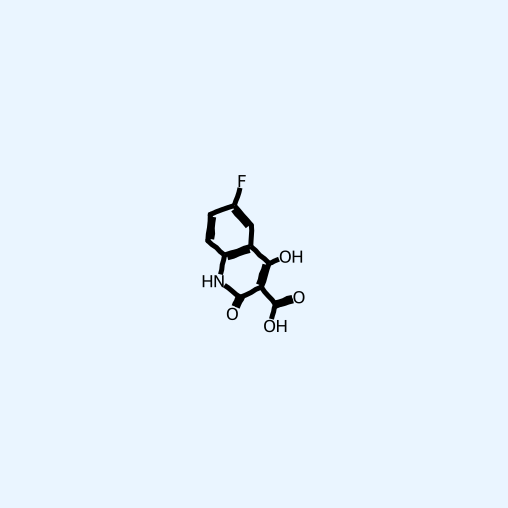 O=C(O)c1c(O)c2cc(F)ccc2[nH]c1=O